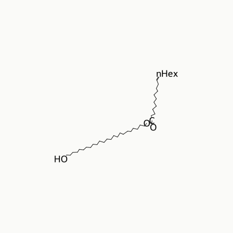 CCCCCCC=CCCCCCCCCCCCC(=O)OCCCCCCCCCCCCCCCCCCCCCCCCO